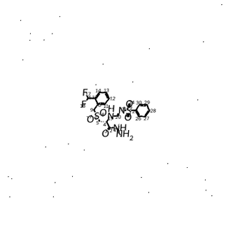 NNC(=O)[C@H](CS(=O)(=O)Cc1ccccc1C(F)F)N/C=N/S(=O)(=O)c1ccccc1